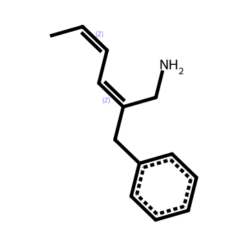 C/C=C\C=C(/CN)Cc1ccccc1